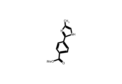 COC(=O)c1ccc(-c2nc(C)c[nH]2)cc1